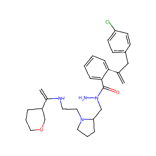 C=C(Cc1ccc(Cl)cc1)c1ccccc1C(=O)N(N)CC1CCCN1CCNC(=C)C1CCCOC1